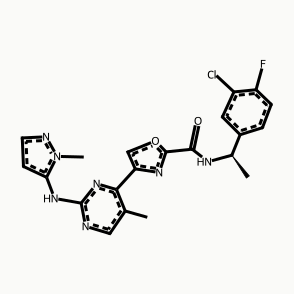 Cc1cnc(Nc2ccnn2C)nc1-c1coc(C(=O)N[C@H](C)c2ccc(F)c(Cl)c2)n1